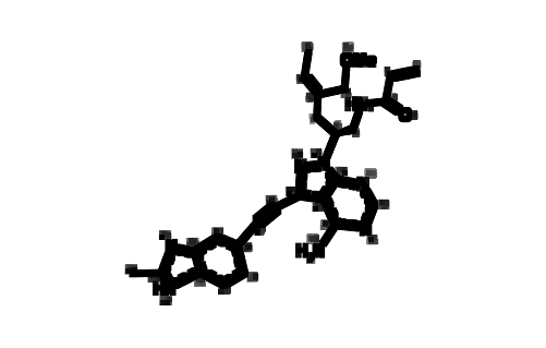 C=CC(=O)NC[C@H](C/C(=C/C)COC)n1nc(C#Cc2ccc3[nH]c(C)nc3c2)c2c(N)ncnc21